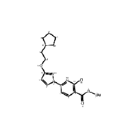 CC(C)(C)OC(=O)c1ccc(-n2ccc(OCCC3CCCC3)n2)nc1Cl